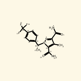 Cc1c(C(N)=O)nn([C@H](C)c2ccc(C(F)(F)F)cc2)c1C(N)=O